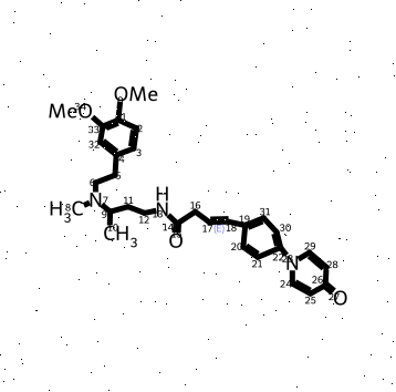 COc1ccc(CCN(C)C(C)CCNC(=O)C/C=C/c2ccc(-n3ccc(=O)cc3)cc2)cc1OC